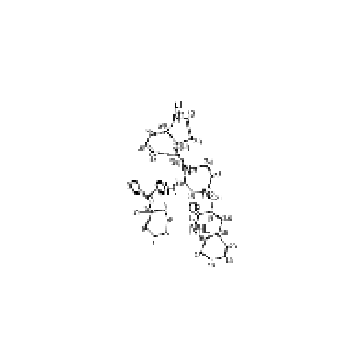 CC1(C(=O)O)CCCCC1.NC(=O)[C@H](CC1CCCCC1)CN1CCN(c2cccc3[nH]ccc23)CC1